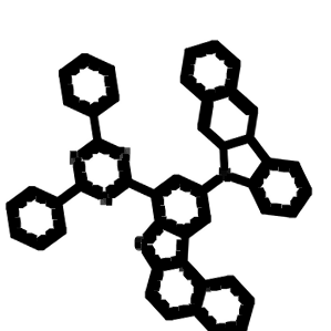 C1=c2ccccc2=CC2C1c1ccccc1N2c1cc(-c2nc(-c3ccccc3)nc(-c3ccccc3)n2)c2oc3ccc4ccccc4c3c2c1